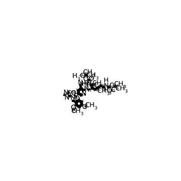 COc1ccc(CN(c2ncns2)S(=O)(=O)c2cnc(NC[C@H](CC(C)(C)CCNC(=O)OC(C)(C)C)[C@@H](C)NC(=O)OC(C)(C)C)c(C#N)c2)c(OC)c1